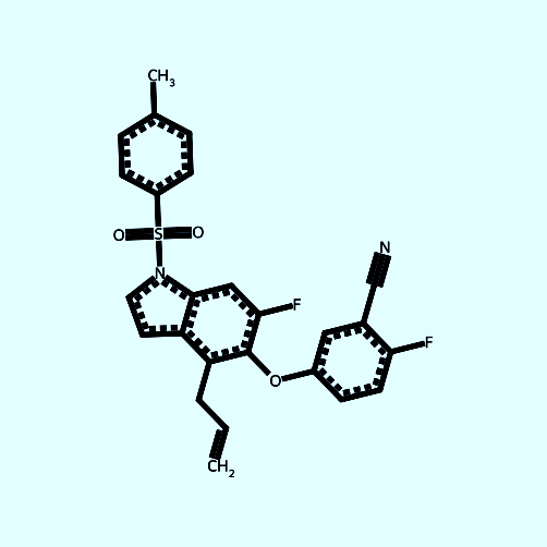 C=CCc1c(Oc2ccc(F)c(C#N)c2)c(F)cc2c1ccn2S(=O)(=O)c1ccc(C)cc1